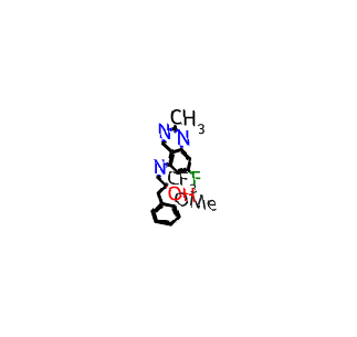 COc1ccccc1CC(O)(/C=N\c1cc(F)cc2nc(C)ncc12)C(F)(F)F